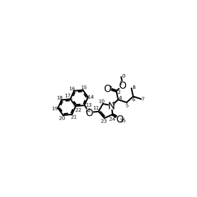 COC(=O)C(CC(C)C)N1CC(Oc2cccc3ccccc23)=CC1=O